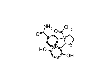 CC(=O)[N+]1(c2cc(C(N)=O)ccn2)CCSC1c1cc(O)ccc1O